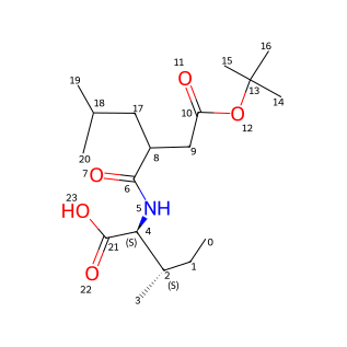 CC[C@H](C)[C@H](NC(=O)C(CC(=O)OC(C)(C)C)CC(C)C)C(=O)O